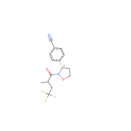 CC(CC(F)(F)F)C(=O)N1OCC[C@H]1c1ccc(C#N)cc1